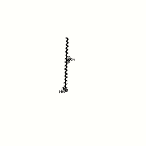 CCCCCCCCCCCCCC(CCCCCCCCCCCCCCCCS(=O)(=O)O)S(=O)(=O)O